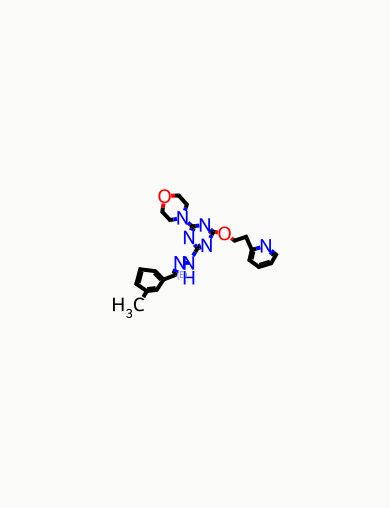 Cc1cccc(/C=N/Nc2nc(OCCc3ccccn3)nc(N3CCOCC3)n2)c1